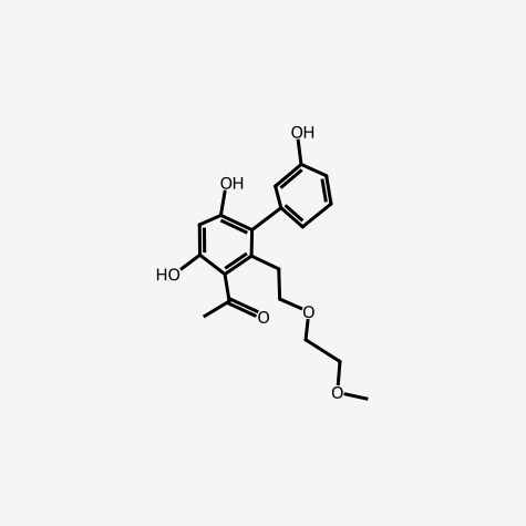 COCCOCCc1c(C(C)=O)c(O)cc(O)c1-c1cccc(O)c1